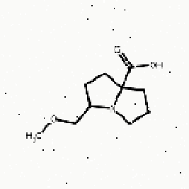 COCC1CCC2(C(=O)O)CCCN12